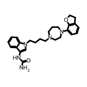 NC(=O)Nc1cn(CCCCN2CCCN(c3cccc4c3OCC4)CC2)c2ccccc12